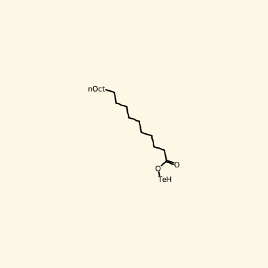 CCCCCCCCCCCCCCCCCC(=O)O[TeH]